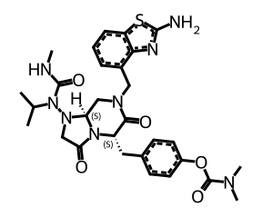 CNC(=O)N(C(C)C)N1CC(=O)N2[C@@H](Cc3ccc(OC(=O)N(C)C)cc3)C(=O)N(Cc3cccc4sc(N)nc34)C[C@@H]21